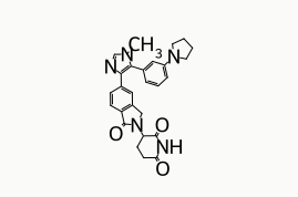 Cn1cnc(-c2ccc3c(c2)CN(C2CCC(=O)NC2=O)C3=O)c1-c1cccc(N2CCCC2)c1